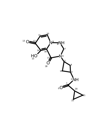 O=C(NC1CC(N2CNn3ccc(=O)c(O)c3C2=O)C1)C1CC1